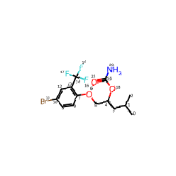 CC(C)CC(COc1ccc(Br)cc1C(F)(F)F)OC(N)=O